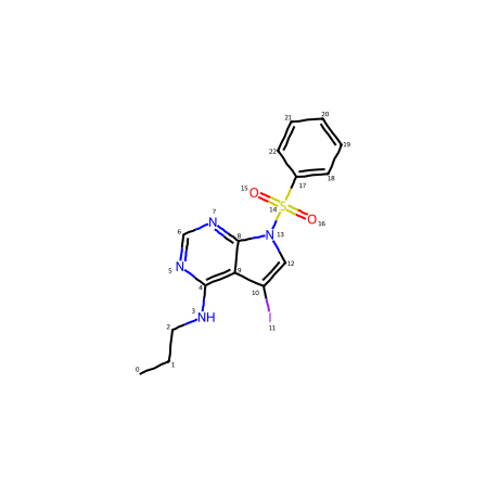 CCCNc1ncnc2c1c(I)cn2S(=O)(=O)c1ccccc1